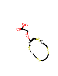 O=C(O)COC1CSCCSCCCSCCSC1